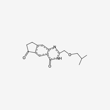 CC(C)COCc1nc2cc3c(cc2c(=O)[nH]1)C(=O)CC3